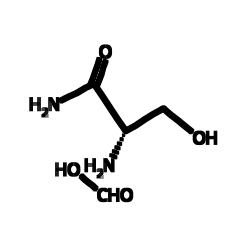 NC(=O)[C@@H](N)CO.O=CO